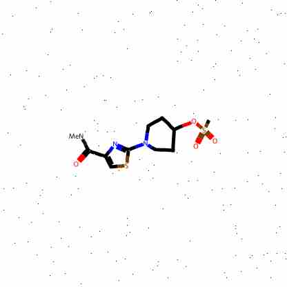 CNC(=O)c1csc(N2CCC(OS(C)(=O)=O)CC2)n1